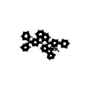 CC1(C)c2ccccc2-c2cccc(N(c3ccc(-c4ccccc4)cc3)c3ccc4cccc5c4c3Oc3ccc(N(c4ccccc4)c4ccccc4)cc3-5)c21